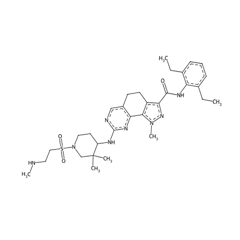 CCc1cccc(CC)c1NC(=O)c1nn(C)c2c1CCc1cnc(NC3CCN(S(=O)(=O)CCNC)CC3(C)C)nc1-2